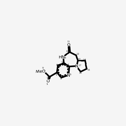 COC(=O)c1cnc2c(c1)NC(=O)CC1CCCN21